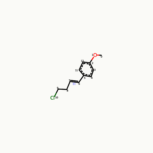 COc1ccc(/C=C/CCCl)cc1